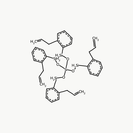 C=CCc1ccccc1[SiH2]O[Si](O[SiH2]c1ccccc1CC=C)(O[SiH2]c1ccccc1CC=C)O[SiH2]c1ccccc1CC=C